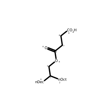 CCCCCCCCCCC(CCCCCCCC)COC(=O)CCC(=O)O